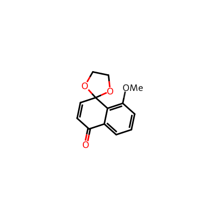 COc1cccc2c1C1(C=CC2=O)OCCO1